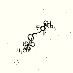 Cc1nsc(NC(=O)N2CCC/C(=C/CCCc3c(F)cc(N(C)C)cc3F)CC2)n1